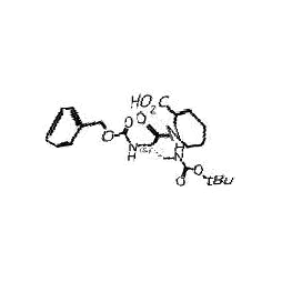 CC(C)(C)OC(=O)NC[C@H](NC(=O)OCc1ccccc1)C(=O)N1CCCCC1C(=O)O